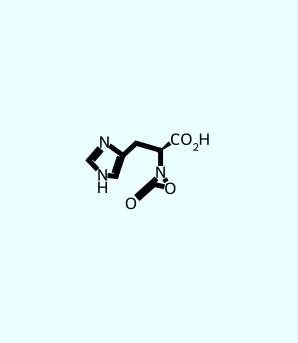 O=C(O)[C@H](Cc1c[nH]cn1)N1OC1=O